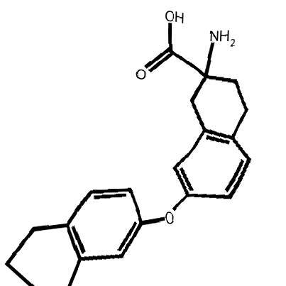 NC1(C(=O)O)CCc2ccc(Oc3ccc4c(c3)CCCC4)cc2C1